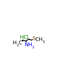 C=CC(N)CCSC.Cl